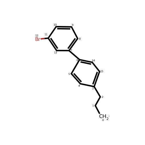 [CH2]CCc1ccc(-c2cccc(Br)c2)cc1